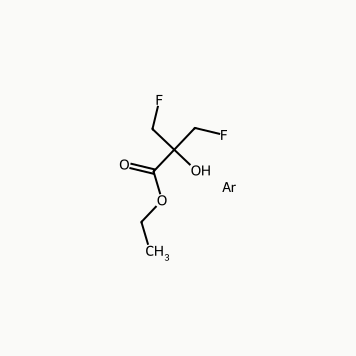 CCOC(=O)C(O)(CF)CF.[Ar]